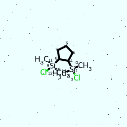 C[Si](C)(Cl)C1CCCC1[Si](C)(C)Cl